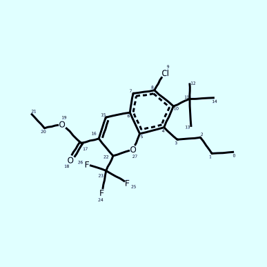 CCCCc1c2c(cc(Cl)c1C(C)(C)C)C=C(C(=O)OCC)C(C(F)(F)F)O2